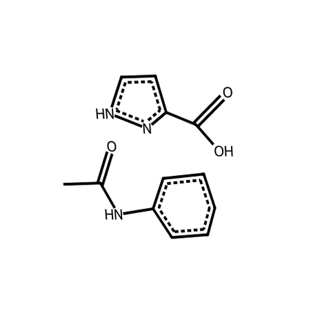 CC(=O)Nc1ccccc1.O=C(O)c1cc[nH]n1